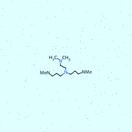 CNCCCN(CCCNC)CCN(C)C